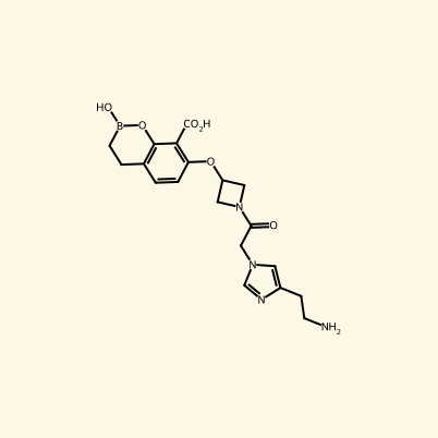 NCCc1cn(CC(=O)N2CC(Oc3ccc4c(c3C(=O)O)OB(O)CC4)C2)cn1